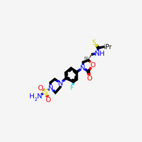 CC(C)C(=S)NC[C@H]1CN(c2ccc(N3CCN(S(N)(=O)=O)CC3)c(F)c2)C(=O)O1